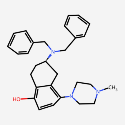 CN1CCN(c2ccc(O)c3c2C[C@H](N(Cc2ccccc2)Cc2ccccc2)CC3)CC1